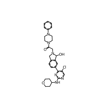 O=C(CN1Cc2ccc(-c3nc(NC4CCOCC4)ncc3Cl)cc2C1O)N1CCN(c2ccccc2)CC1